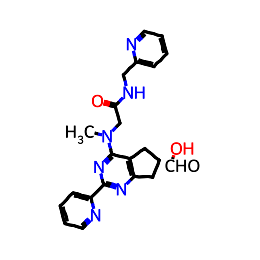 CN(CC(=O)NCc1ccccn1)c1nc(-c2ccccn2)nc2c1CCC2.O=CO